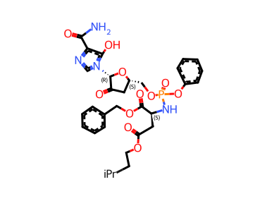 CC(C)CCOC(=O)C[C@H](NP(=O)(OC[C@@H]1CC(=O)[C@H](n2cnc(C(N)=O)c2O)O1)Oc1ccccc1)C(=O)OCc1ccccc1